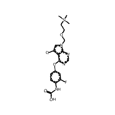 C[Si](C)(C)CCOCn1cc(Cl)c2c(Oc3ccc(NC(=O)O)c(F)c3)ncnc21